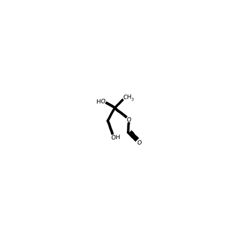 CC(O)(CO)OC=O